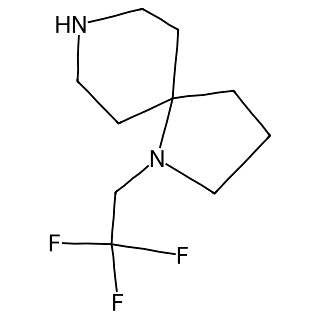 FC(F)(F)CN1CCCC12CCNCC2